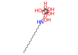 CCCCCCCCCCCCCCCCCCCCNCC(O)CO[C@@H]1O[C@H](CO)[C@H](O)[C@H](O)[C@H]1O